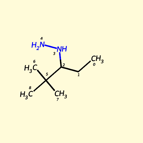 CCC(NN)C(C)(C)C